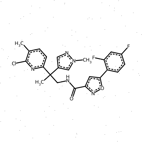 Cc1ccc(C(C)(CNC(=O)c2cc(-c3ccc(F)cc3F)on2)c2cnn(C)c2)nc1Cl